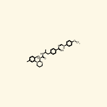 Cc1ccc(C(C)C)c(N2CCCSC2NC(=O)NC(C)Cc2ccc(C(=N)/N=C\Nc3ccc(OC(F)(F)F)cc3)cc2)c1